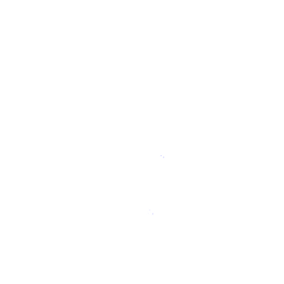 CC(=O)N(c1ccc(O)cc1)[C@H](CN1CC[C@@H](c2cccc(O)c2)[C@@H](C)C1C)C(C)C